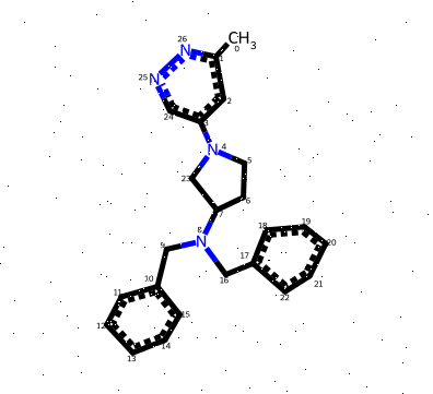 Cc1cc(N2CCC(N(Cc3ccccc3)Cc3ccccc3)C2)cnn1